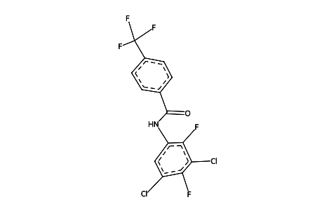 O=C(Nc1cc(Cl)c(F)c(Cl)c1F)c1ccc(C(F)(F)F)cc1